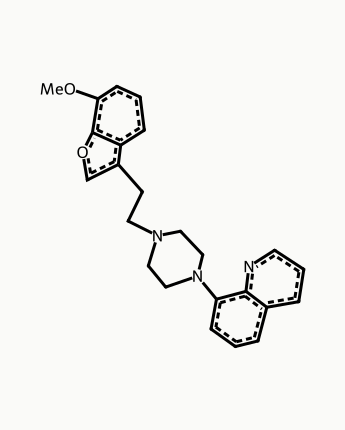 COc1cccc2c(CCN3CCN(c4cccc5cccnc45)CC3)coc12